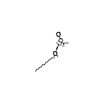 CCCCCCCCCCCCOc1ccc(C#CC(=O)OC2(C(=O)O)C=CC(c3ccccc3)=CC2)cc1F